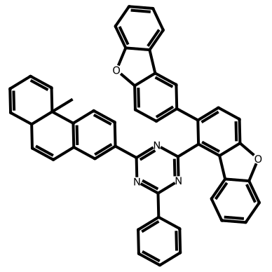 CC12C=CC=CC1C=Cc1cc(-c3nc(-c4ccccc4)nc(-c4c(-c5ccc6oc7ccccc7c6c5)ccc5oc6ccccc6c45)n3)ccc12